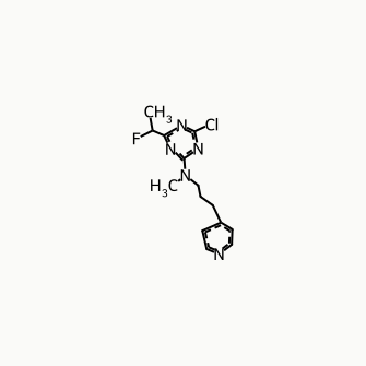 CC(F)c1nc(Cl)nc(N(C)CCCc2ccncc2)n1